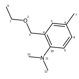 CCOCc1cc(C)ccc1N(C)C